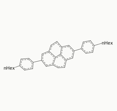 CCCCCCc1ccc(-c2cc3ccc4cc(-c5ccc(CCCCCC)cc5)cc5ccc(c2)c3c45)cc1